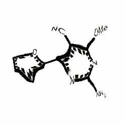 COc1nc(N)nc(-c2ccco2)c1C#N